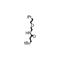 CC(C)CCOCCNC(=O)CCC(C)(C)C